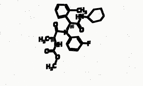 COC(=O)N[C@@H](C)C(=O)N(c1cccc(F)c1)[C@H](C(=O)NC1CCCCC1)c1ccccc1C